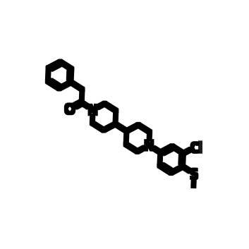 CSc1ccc(N2CCC(C3CCN(C(=O)Cc4ccccc4)CC3)CC2)cc1Cl